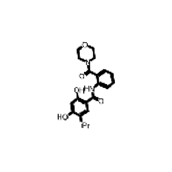 CC(C)c1cc(C(=O)Nc2ccccc2C(=O)N2CCOCC2)c(O)cc1O